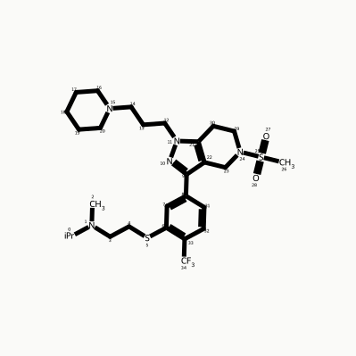 CC(C)N(C)CCSc1cc(-c2nn(CCCN3CCCCC3)c3c2CN(S(C)(=O)=O)CC3)ccc1C(F)(F)F